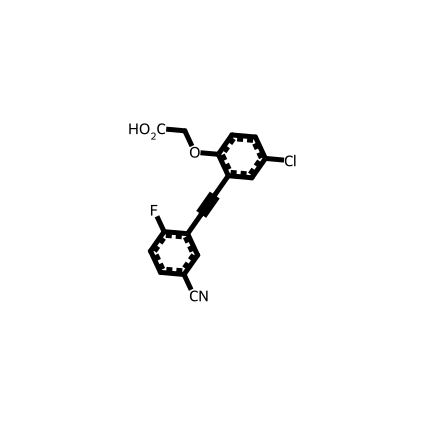 N#Cc1ccc(F)c(C#Cc2cc(Cl)ccc2OCC(=O)O)c1